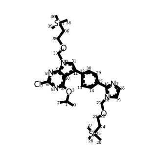 CC(C)Oc1nc(Cl)nc2c1c(-c1ccc(-c3nccn3COCC[Si](C)(C)C)cc1)cn2COCC[Si](C)(C)C